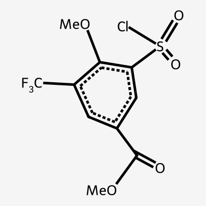 COC(=O)c1cc(C(F)(F)F)c(OC)c(S(=O)(=O)Cl)c1